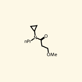 CCCN(C(=O)CCOC)C1CC1